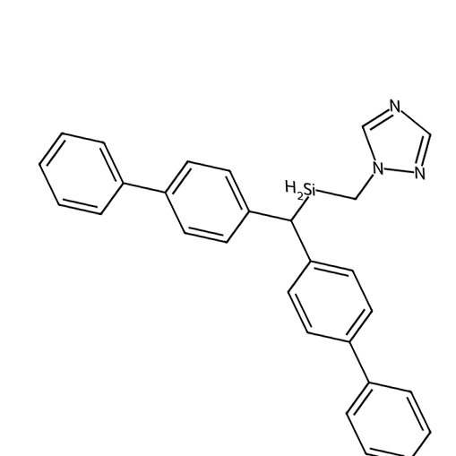 c1ccc(-c2ccc(C([SiH2]Cn3cncn3)c3ccc(-c4ccccc4)cc3)cc2)cc1